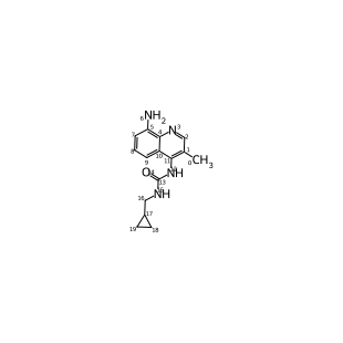 Cc1cnc2c(N)cccc2c1NC(=O)NCC1CC1